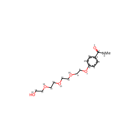 CNC(=O)c1ccc(OCCOCCOCCOCCO)cc1